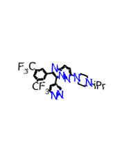 CC(C)N1CCN(c2ccc3nc(-c4cc(C(F)(F)F)cc(C(F)(F)F)c4)c(-c4ccnnc4)n3n2)CC1